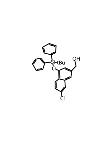 CC(C)(C)[Si](Oc1cc(CO)cc2cc(Cl)ccc12)(c1ccccc1)c1ccccc1